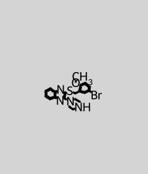 COc1ccc(Br)cc1CSc1nc2ccccc2nc1N1CCNCC1